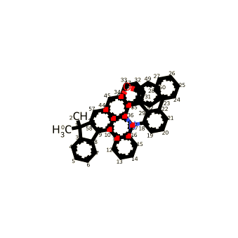 CC1(C)c2ccccc2-c2c(-c3ccccc3N(c3cccc(-c4ccccc4)c3-c3ccccc3-c3ccccc3)c3cccc4oc5ccccc5c34)cccc21